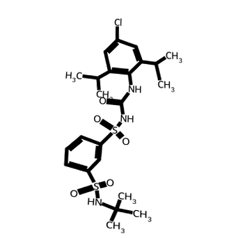 CC(C)c1cc(Cl)cc(C(C)C)c1NC(=O)NS(=O)(=O)c1cccc(S(=O)(=O)NC(C)(C)C)c1